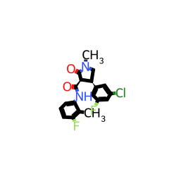 Cc1c(F)cccc1NC(=O)[C@H]1C(=O)N(C)C[C@@H]1c1cc(F)cc(Cl)c1